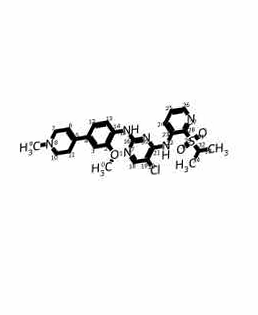 COc1cc(C2=CCN(C)CC2)ccc1Nc1ncc(Cl)c(Nc2cccnc2S(=O)(=O)C(C)C)n1